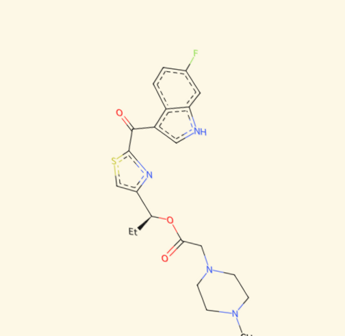 CC[C@H](OC(=O)CN1CCN(C)CC1)c1csc(C(=O)c2c[nH]c3cc(F)ccc23)n1